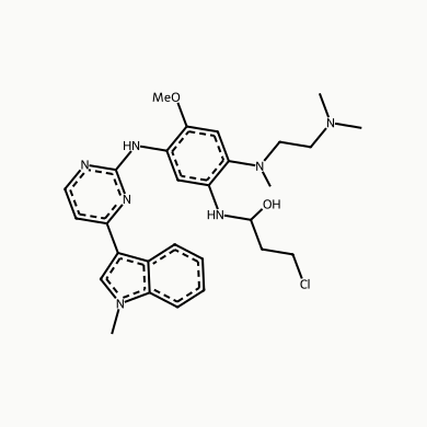 COc1cc(N(C)CCN(C)C)c(NC(O)CCCl)cc1Nc1nccc(-c2cn(C)c3ccccc23)n1